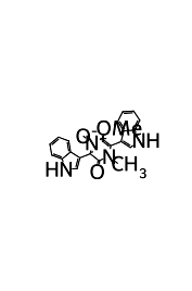 COc1c(-c2c[nH]c3ccccc23)n(C)c(=O)c(-c2c[nH]c3ccccc23)[n+]1[O-]